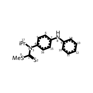 CSC(=S)N(c1ccc(Nc2ccccc2)cc1)C(C)C